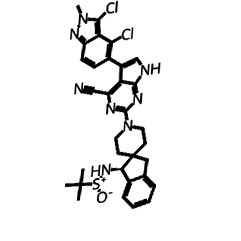 Cn1nc2ccc(-c3c[nH]c4nc(N5CCC6(CC5)Cc5ccccc5[C@H]6N[S+]([O-])C(C)(C)C)nc(C#N)c34)c(Cl)c2c1Cl